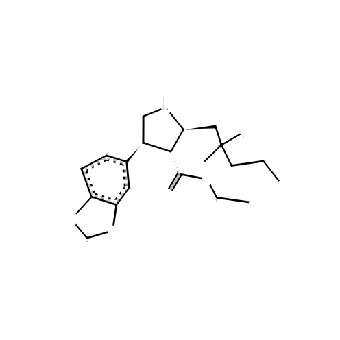 CCCC(C)(C)C[C@@H]1NC[C@H](c2ccc3c(c2)OCO3)[C@H]1C(=O)OCC